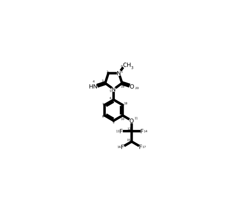 CN1CC(=N)N(c2cccc(OC(F)(F)C(F)F)c2)C1=O